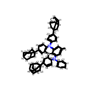 Cc1cc2c3c(c1)N(c1ccc(C45CC6CC(CC(C6)C4)C5)cc1)c1ccc(C45CC6CC(CC(C6)C4)C5)cc1B3c1cc(C34CC5CC(CC(C5)C3)C4)ccc1N2c1ccccc1